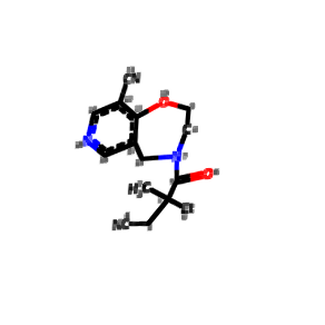 CCC(C)(CC#N)C(=O)N1CCOc2c(C#N)cncc2C1